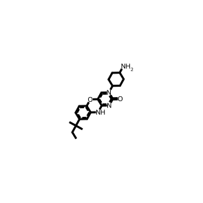 CCC(C)(C)c1ccc2c(c1)Nc1nc(=O)n(C3CCC(N)CC3)cc1O2